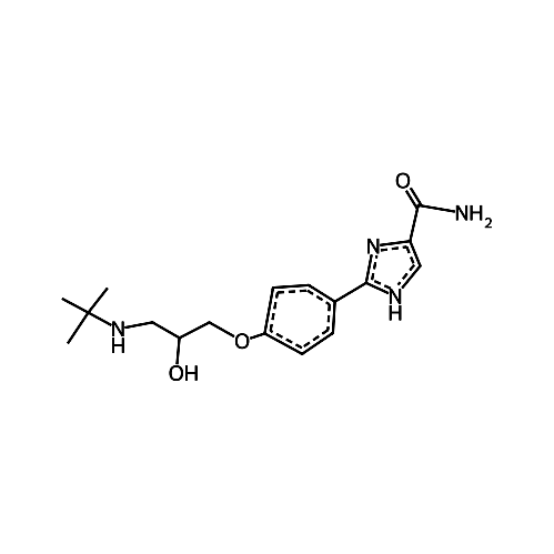 CC(C)(C)NCC(O)COc1ccc(-c2nc(C(N)=O)c[nH]2)cc1